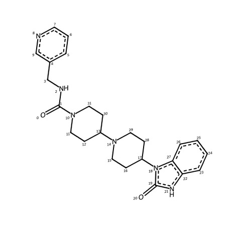 O=C(NCc1cccnc1)N1CCC(N2CCC(n3c(=O)[nH]c4ccccc43)CC2)CC1